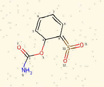 NC(=O)OC1C=CC=CC1=S(=O)=O